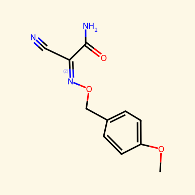 COc1ccc(CO/N=C(/C#N)C(N)=O)cc1